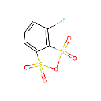 O=S1(=O)OS(=O)(=O)c2c(F)cccc21